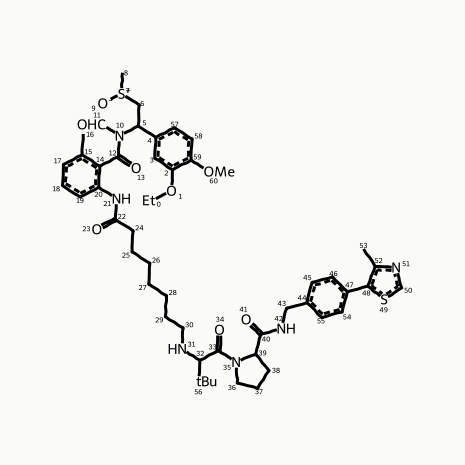 CCOc1cc(C(C[S+](C)[O-])N(C=O)C(=O)c2c(C)cccc2NC(=O)CCCCCCCNC(C(=O)N2CCCC2C(=O)NCc2ccc(-c3scnc3C)cc2)C(C)(C)C)ccc1OC